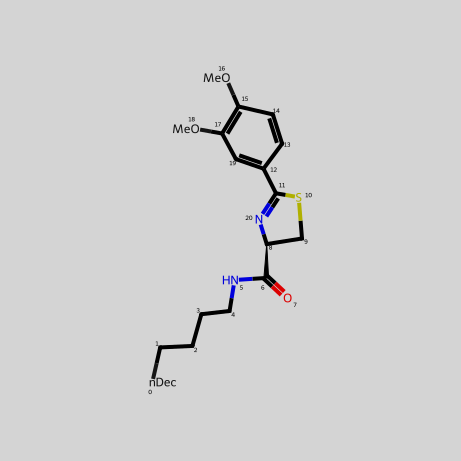 CCCCCCCCCCCCCCNC(=O)[C@@H]1CSC(c2ccc(OC)c(OC)c2)=N1